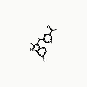 CC(=O)c1cncc(Sc2c(C)[nH]c3cc(Cl)ccc23)c1